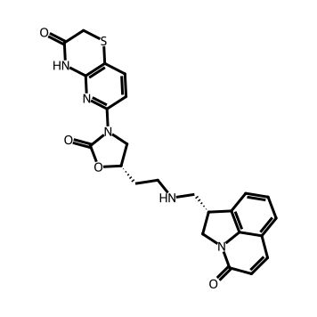 O=C1CSc2ccc(N3C[C@H](CCNC[C@H]4Cn5c(=O)ccc6cccc4c65)OC3=O)nc2N1